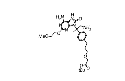 COCCOc1nc(N)c2[nH]c(=O)n(C(C)(CN)c3ccc(CCCOCC(=O)OC(C)(C)C)cc3)c2n1